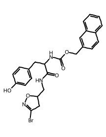 O=C(NC(Cc1ccc(O)cc1)C(=O)NCC1CC(Br)=NO1)OCc1ccc2ccccc2c1